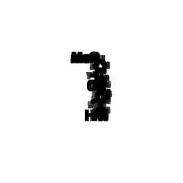 COc1cccc(C(C)N2CCN(c3cc(C)c(-c4cn[nH]c4)cn3)C2=O)c1